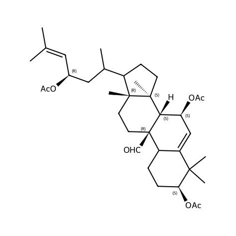 CC(=O)O[C@H]1C=C2C(CC[C@H](OC(C)=O)C2(C)C)[C@]2(C=O)CC[C@]3(C)C(C(C)C[C@H](C=C(C)C)OC(C)=O)CC[C@@]3(C)[C@H]12